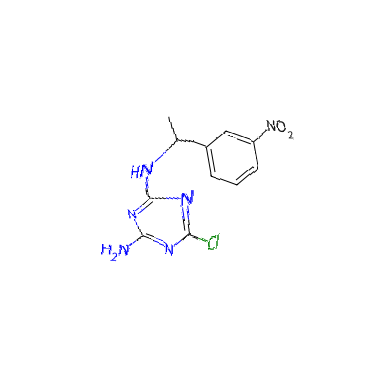 CC(Nc1nc(N)nc(Cl)n1)c1cccc([N+](=O)[O-])c1